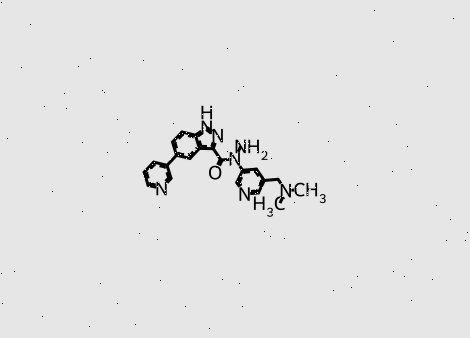 CN(C)Cc1cncc(N(N)C(=O)c2n[nH]c3ccc(-c4cccnc4)cc23)c1